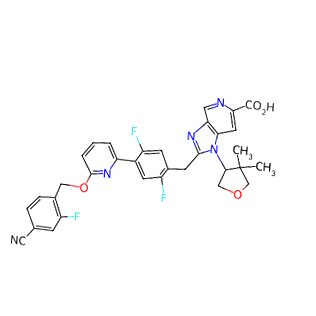 CC1(C)COCC1n1c(Cc2cc(F)c(-c3cccc(OCc4ccc(C#N)cc4F)n3)cc2F)nc2cnc(C(=O)O)cc21